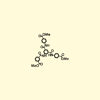 COC(=O)c1ccc(NC(=O)c2cc(NC(=O)c3cccc(C(=O)OC)c3)cc(C(=O)Nc3ccc(C(=O)OC)cc3)c2)cc1